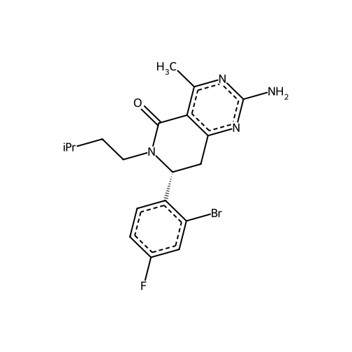 Cc1nc(N)nc2c1C(=O)N(CCC(C)C)[C@@H](c1ccc(F)cc1Br)C2